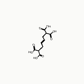 O=C(O)C(C/C=C/CC(C(=O)O)C(=O)O)C(=O)O